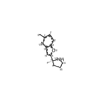 Cc1ccc2oc([C@]3(C)CCCN3)cc2n1